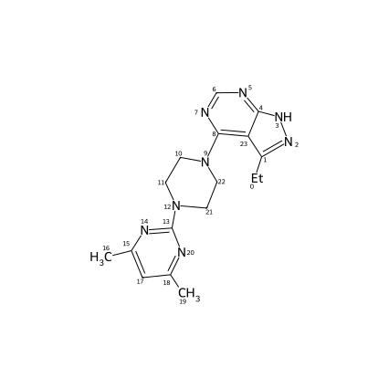 CCc1n[nH]c2ncnc(N3CCN(c4nc(C)cc(C)n4)CC3)c12